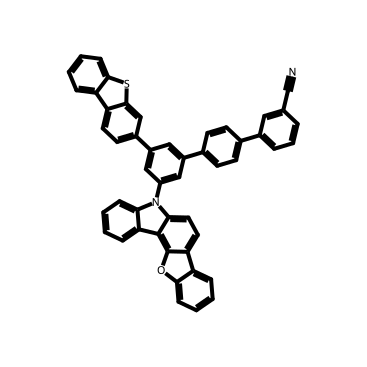 N#Cc1cccc(-c2ccc(-c3cc(-c4ccc5c(c4)sc4ccccc45)cc(-n4c5ccccc5c5c6oc7ccccc7c6ccc54)c3)cc2)c1